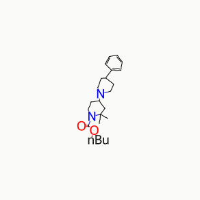 CCCCOC(=O)N1CCC(N2CCC(c3ccccc3)CC2)CC1(C)C